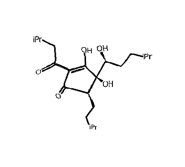 CC(C)CC[C@H](O)[C@@]1(O)C(O)=C(C(=O)CC(C)C)C(=O)[C@@H]1CCC(C)C